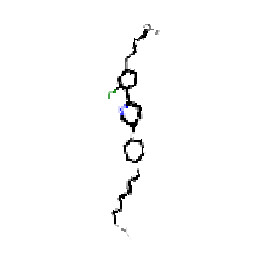 CCCCCCC[C@H]1CC[C@H](c2ccc(-c3ccc(CCCCC)cc3F)nc2)CC1